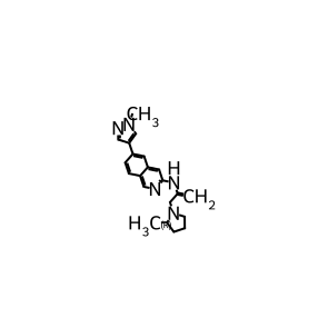 C=C(CN1CCC[C@H]1C)Nc1cc2cc(-c3cnn(C)c3)ccc2cn1